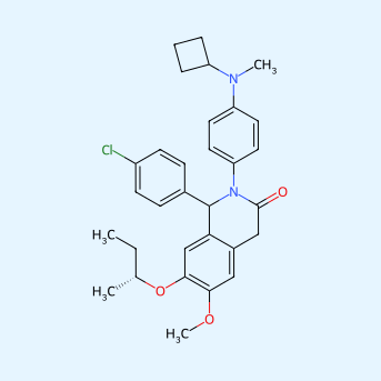 CC[C@@H](C)Oc1cc2c(cc1OC)CC(=O)N(c1ccc(N(C)C3CCC3)cc1)C2c1ccc(Cl)cc1